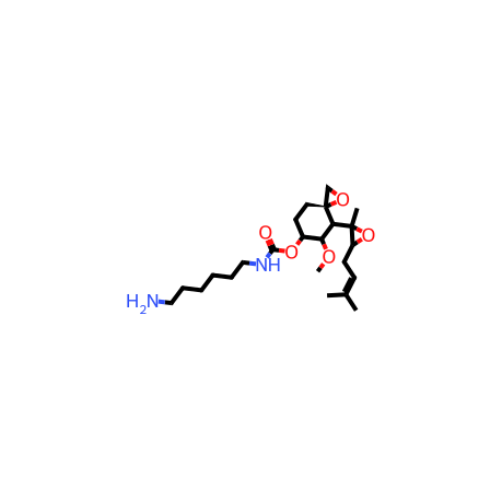 COC1C(OC(=O)NCCCCCCN)CC[C@]2(CO2)C1C1(C)OC1CC=C(C)C